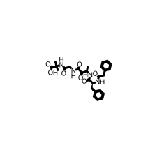 CC(NC(=O)[C@H](Cc1ccccc1)NC(=O)Cc1ccccc1)C(=O)C(=O)NCC(=O)NC(C)(C)C(=O)O